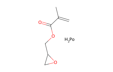 C=C(C)C(=O)OCC1CO1.[PoH2]